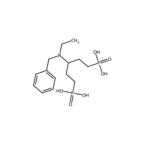 CCN(Cc1ccccc1)C(CCP(=O)(O)O)CCP(=O)(O)O